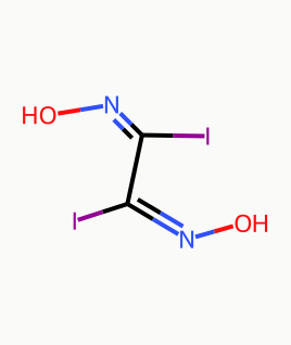 O/N=C(I)\C(I)=N/O